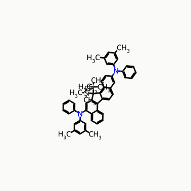 Cc1cc(C)cc(N(c2ccccc2)c2ccc3c4c(ccc3c2)-c2c(cc(N(c3ccccc3)c3cc(C)cc(C)c3)c3ccccc23)C4([Si](C)(C)C)[Si](C)(C)C)c1